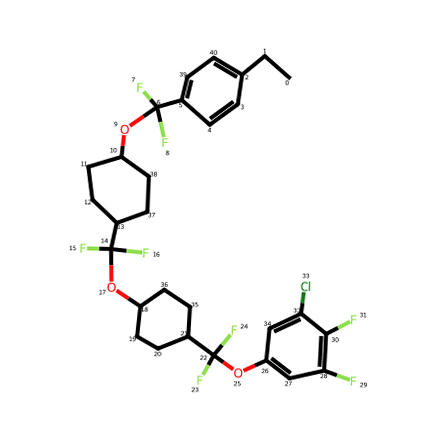 CCc1ccc(C(F)(F)OC2CCC(C(F)(F)OC3CCC(C(F)(F)Oc4cc(F)c(F)c(Cl)c4)CC3)CC2)cc1